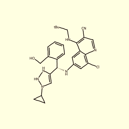 CC(C)(C)CNc1c(C#N)cnc2c(Cl)cc(N[C@H](C3=CN(C4CC4)NN3)c3ccccc3CO)cc12